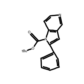 CC(C)(C)OC(=O)n1c(-c2ccccc2)cc2cnccc21